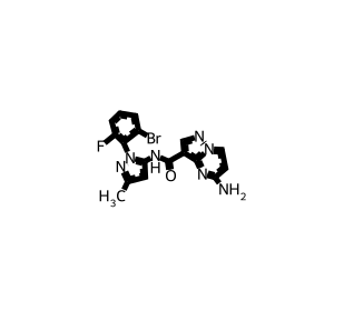 Cc1cc(NC(=O)c2cnn3ccc(N)nc23)n(-c2c(F)cccc2Br)n1